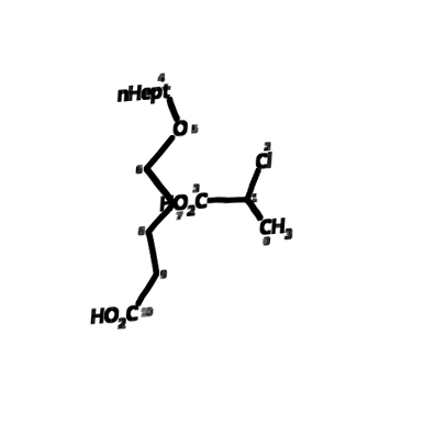 CC(Cl)C(=O)O.CCCCCCCOCCCCC(=O)O